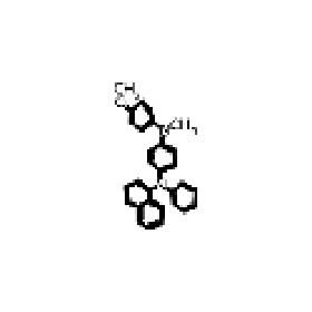 COc1ccc(N(C)c2ccc(N(c3ccccc3)c3cccc4ccccc34)cc2)cc1